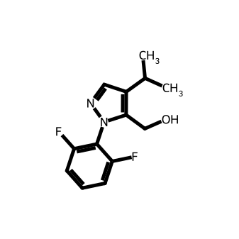 CC(C)c1cnn(-c2c(F)cccc2F)c1CO